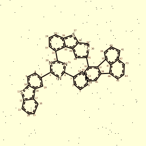 c1ccc(-c2nc(-c3ccc4sc5ccccc5c4c3)nc(-c3cccc4sc5ccc(-c6cccc7c6-c6cccc8cccc-7c68)cc5c34)n2)cc1